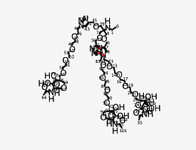 CCNC(COCc1cn(CCOCCOCCOCCOC[C@H]2OC3OCC2(O)[C@H](O)[C@H]3NC(C)=O)nn1)(COCc1cn(CCOCCOCCOCCOC[C@@]23CO[C@H](O2)[C@H](NC(C)=O)[C@@H](O)[C@H]3O)nn1)COCc1cn(CCOCCOCCOCCOC[C@@]23CO[C@H](O2)[C@H](NC(C)=O)[C@@H](O)[C@H]3O)nn1